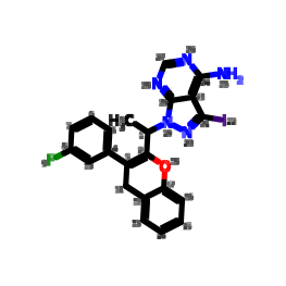 CC(C1=C(c2cccc(F)c2)Cc2ccccc2O1)n1nc(I)c2c(N)ncnc21